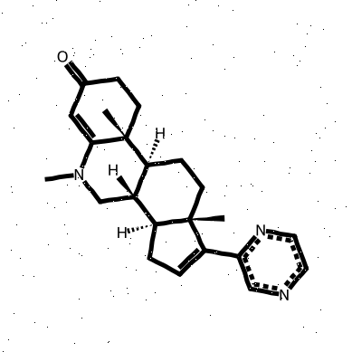 CN1C[C@@H]2[C@H](CC[C@]3(C)C(c4cnccn4)=CC[C@@H]23)[C@@]2(C)CCC(=O)C=C12